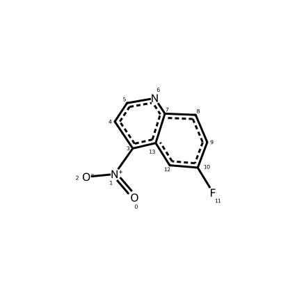 O=[N+]([O-])c1ccnc2ccc(F)cc12